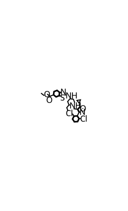 CCOC(=O)c1ccc2nc(NC(CC)CC(CC)NCc3c(-c4c(Cl)cccc4Cl)noc3C3CC3)sc2c1